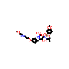 COCCNCCCOc1ccc(C[C@H](NC(=O)O)[C@@H](O)CN(CC(C)C)S(=O)(=O)c2ccc3c(c2)OCO3)cc1